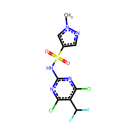 Cn1cc(S(=O)(=O)Nc2nc(Cl)c(C(F)F)c(Cl)n2)cn1